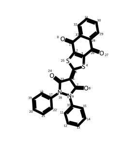 O=C1C2=C(SC(=C3C(=O)N(c4ccccc4)N(c4ccccc4)C3=O)S2)C(=O)c2ccccc21